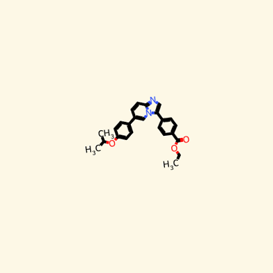 CCOC(=O)c1ccc(-c2cnc3ccc(-c4ccc(OC(C)C)cc4)cn23)cc1